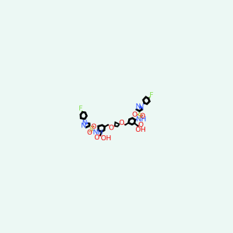 O=C(O)c1cc(COC2CC(OCc3ccc(NS(=O)(=O)c4cnn(-c5ccc(F)cc5)c4)c(C(=O)O)c3)C2)ccc1NS(=O)(=O)c1cnn(-c2ccc(F)cc2)c1